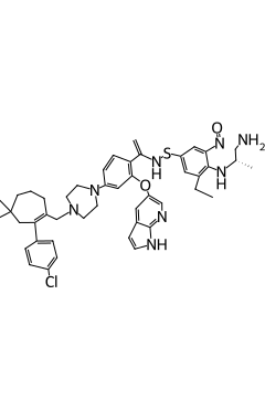 C=C(NSc1cc(CC)c(N[C@@H](C)CN)c(N=O)c1)c1ccc(N2CCN(CC3=C(c4ccc(Cl)cc4)CC(C)(C)CCC3)CC2)cc1Oc1cnc2[nH]ccc2c1